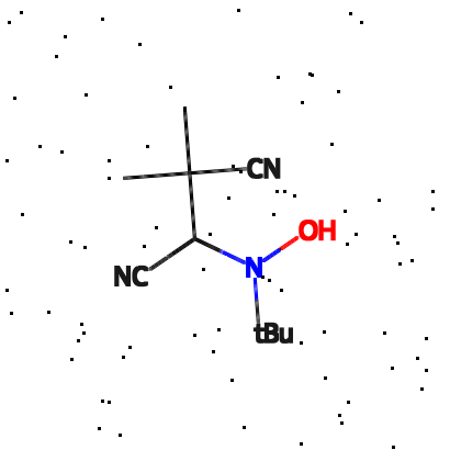 CC(C)(C#N)C(C#N)N(O)C(C)(C)C